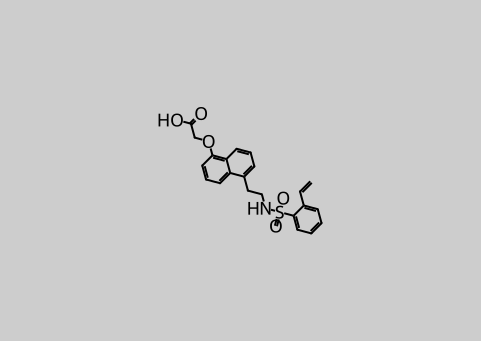 C=Cc1ccccc1S(=O)(=O)NCCc1cccc2c(OCC(=O)O)cccc12